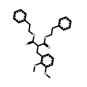 COc1cccc(CC(C(=O)OCCc2ccccc2)C(=O)OCCc2ccccc2)c1OC